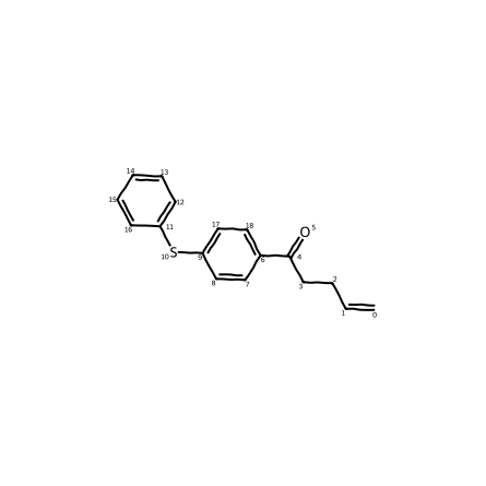 C=CCCC(=O)c1ccc(Sc2ccccc2)cc1